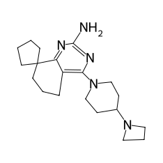 Nc1nc(N2CCC(N3CCC3)CC2)c2c(n1)C1(CCCC1)CCC2